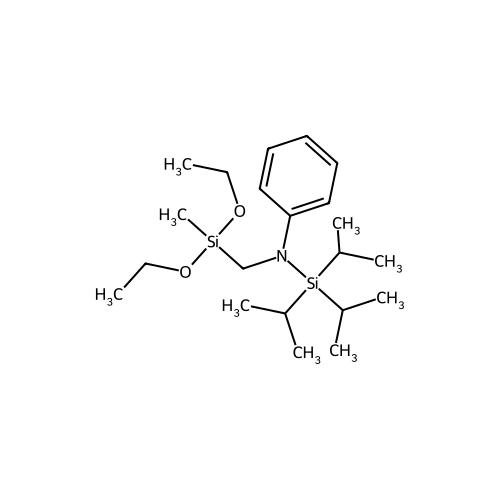 CCO[Si](C)(CN(c1ccccc1)[Si](C(C)C)(C(C)C)C(C)C)OCC